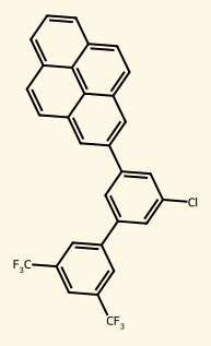 FC(F)(F)c1cc(-c2cc(Cl)cc(-c3cc4ccc5cccc6ccc(c3)c4c56)c2)cc(C(F)(F)F)c1